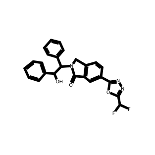 O=C1c2cc(-c3nnc(C(F)F)o3)ccc2CN1C(c1ccccc1)C(O)c1ccccc1